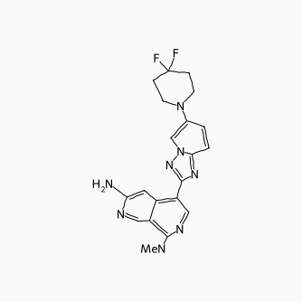 CNc1ncc(-c2nc3ccc(N4CCC(F)(F)CC4)cn3n2)c2cc(N)ncc12